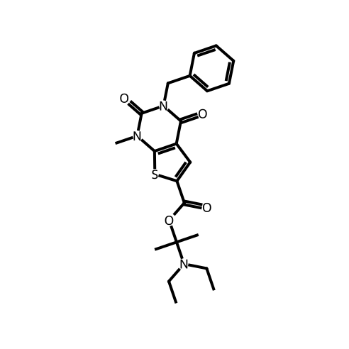 CCN(CC)C(C)(C)OC(=O)c1cc2c(=O)n(Cc3ccccc3)c(=O)n(C)c2s1